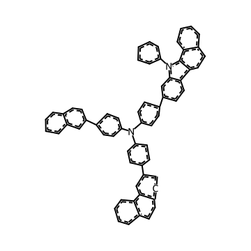 c1ccc(-n2c3cc(-c4ccc(N(c5ccc(-c6ccc7ccccc7c6)cc5)c5ccc(-c6ccc7ccc8ccccc8c7c6)cc5)cc4)ccc3c3ccc4ccccc4c32)cc1